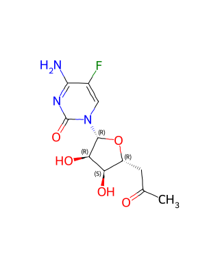 CC(=O)C[C@H]1O[C@@H](n2cc(F)c(N)nc2=O)[C@H](O)[C@@H]1O